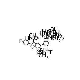 BC(B)(B)C(NC(=O)c1cccc(-c2cc3c(C(=O)NC)c(-c4ccc(F)cc4)oc3cc2N(CCCF)S(C)(=O)=O)c1)(C(B)(B)B)C(B)(B)B